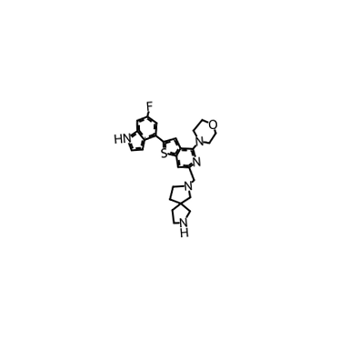 Fc1cc(-c2cc3c(N4CCOCC4)nc(CN4CCC5(CCNC5)C4)cc3s2)c2cc[nH]c2c1